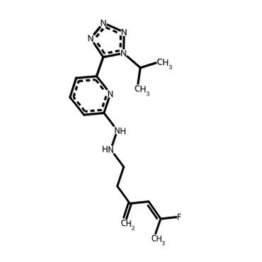 C=C(/C=C(\C)F)CCNNc1cccc(-c2nnnn2C(C)C)n1